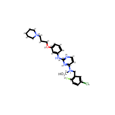 O=C(O)N(Cc1cc(Cl)ccc1F)c1ccnc(Nc2cccc(OCCCN3CCCCC3)c2)n1